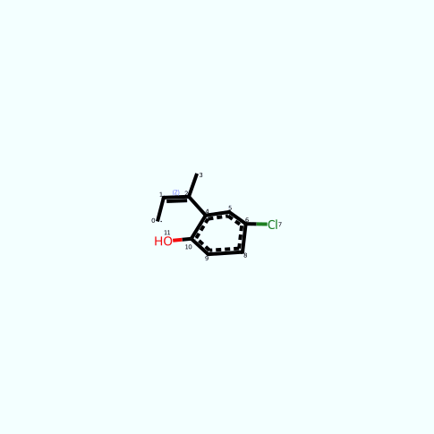 [CH2]/C=C(/C)c1cc(Cl)ccc1O